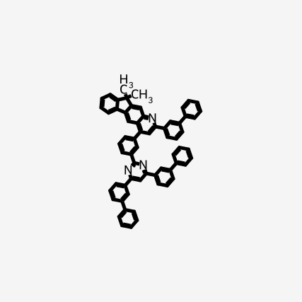 CC1(C)c2ccccc2-c2cc3c(-c4cccc(-c5nc(-c6cccc(-c7ccccc7)c6)cc(-c6cccc(-c7ccccc7)c6)n5)c4)cc(-c4cccc(-c5ccccc5)c4)nc3cc21